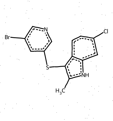 Cc1[nH]c2cc(Cl)ccc2c1Sc1cncc(Br)c1